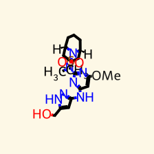 COc1cc(Nc2cc(CO)[nH]n2)nc(N(C)[C@H]2C[C@H]3CCC[C@@H](C2)N3S(C)(=O)=O)n1